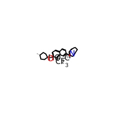 C[C@@H](c1ccc2ccc(O[C@H]3CC[C@@H](C)CC3)c(C(F)(F)F)c2c1)N1C2CCC1CC(C(=O)O)C2